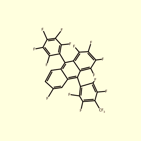 Fc1ccc2c(-c3c(F)c(F)c(F)c(F)c3F)c3c(F)c(F)c(F)c(F)c3c(-c3c(F)c(F)c(C(F)(F)F)c(F)c3F)c2c1